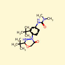 CN(C)C(=O)Nc1ccc(N2NC(C(C)(C)C)OCC2=O)c(C(C)(C)C)c1